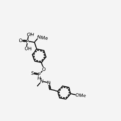 CNC(c1ccc(O[PH](=S)N(C)/N=C/c2ccc(OC)cc2)cc1)P(=O)(O)O